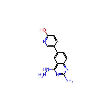 NNc1nc(N)nc2ccc(-c3ccc(O)nc3)cc12